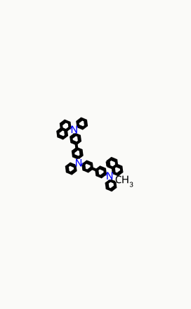 CC1C=CC=CC1N(c1ccc(-c2ccc(N(c3ccccc3)c3ccc(-c4ccc(N(c5ccccc5)C5CC=Cc6ccccc65)cc4)cc3)cc2)cc1)c1cccc2ccc#cc12